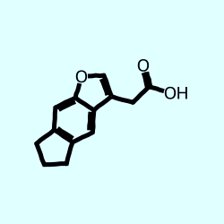 O=C(O)Cc1coc2cc3c(cc12)CCC3